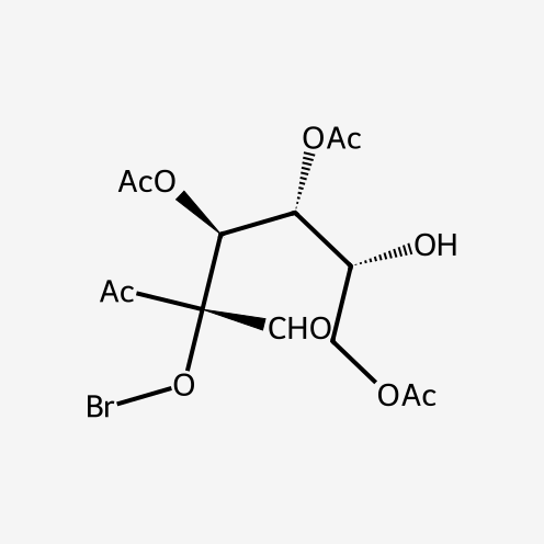 CC(=O)OC[C@@H](O)[C@@H](OC(C)=O)[C@H](OC(C)=O)[C@](C=O)(OBr)C(C)=O